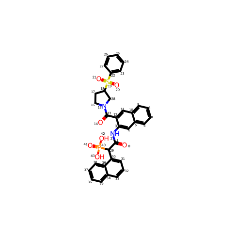 O=C(Nc1cc2ccccc2cc1C(=O)N1CCC(S(=O)(=O)c2ccccc2)C1)C(c1cccc2ccccc12)P(=O)(O)O